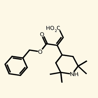 CC1(C)CC(C(=CC(=O)O)C(=O)OCc2ccccc2)CC(C)(C)N1